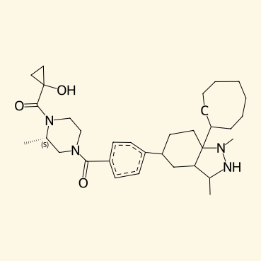 CC1NN(C)C2(C3CCCCCCC3)CCC(c3ccc(C(=O)N4CCN(C(=O)C5(O)CC5)[C@@H](C)C4)cc3)CC12